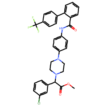 COC(=O)C(c1cccc(Cl)c1)N1CCN(c2ccc(NC(=O)c3ccccc3-c3ccc(C(F)(F)F)cc3)cc2)CC1